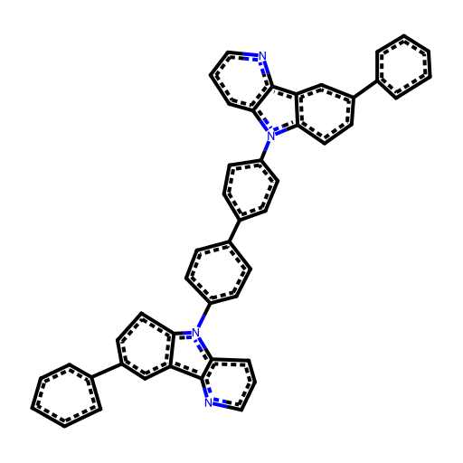 c1ccc(-c2ccc3c(c2)c2ncccc2n3-c2ccc(-c3ccc(-n4c5ccc(-c6ccccc6)cc5c5ncccc54)cc3)cc2)cc1